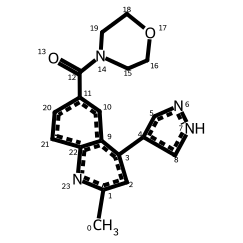 Cc1cc(-c2cn[nH]c2)c2cc(C(=O)N3CCOCC3)ccc2n1